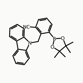 CC1(C)OB(c2cccc(C#N)c2Cn2c3ccccc3c3ccccc32)OC1(C)C